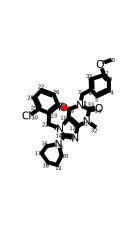 COc1cccc(Cn2c(=O)c3c(nc(N4CCCCC4)n3Cc3c(F)cccc3Cl)n(C)c2=O)c1